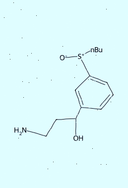 CCCC[S+]([O-])c1cccc(C(O)CCN)c1